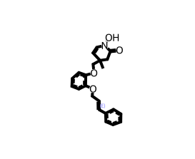 CC1(COc2ccccc2OC/C=C/c2ccccc2)C=CN(O)C(=O)C1